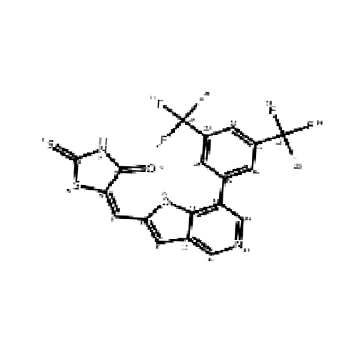 O=C1NC(=S)SC1=Cc1cc2cncc(-c3cc(C(F)(F)F)cc(C(F)(F)F)c3)c2o1